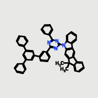 CC1(C)c2ccccc2-c2cc3c4ccccc4n(-c4nc(-c5ccccc5)nc(-c5cccc(-c6cc(-c7ccccc7)cc(-c7ccccc7)c6)c5)n4)c3cc21